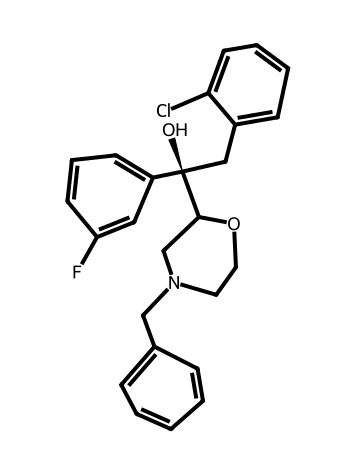 O[C@](Cc1ccccc1Cl)(c1cccc(F)c1)C1CN(Cc2ccccc2)CCO1